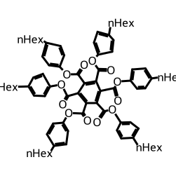 CCCCCCc1ccc(OC(=O)c2c(C(=O)Oc3ccc(CCCCCC)cc3)c(C(=O)Oc3ccc(CCCCCC)cc3)c(C(=O)Oc3ccc(CCCCCC)cc3)c(C(=O)Oc3ccc(CCCCCC)cc3)c2C(=O)Oc2ccc(CCCCCC)cc2)cc1